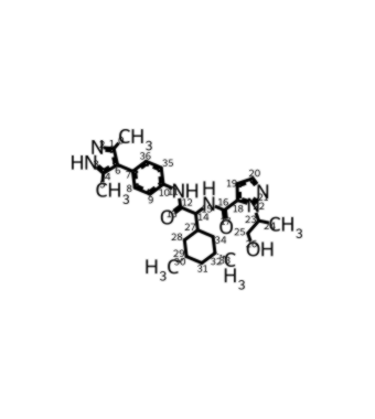 Cc1n[nH]c(C)c1-c1ccc(NC(=O)C(NC(=O)c2ccnn2C(C)CO)C2C[C@@H](C)C[C@@H](C)C2)cc1